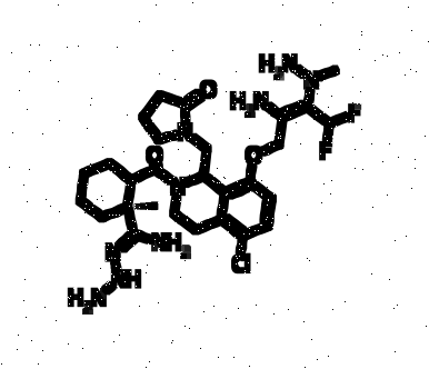 CN(N)/C(=C(\N)COc1ccc(Cl)c2c1C(CN1CCCC1=O)N(C(=O)C1CCCC[C@]1(C)/C(N)=N/NN)CC2)C(F)F